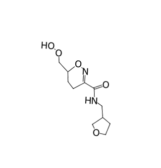 O=C(NCC1CCOC1)C1=NOC(COO)CC1